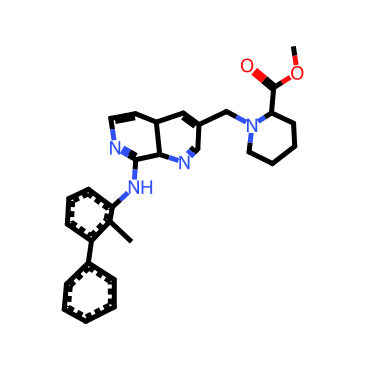 COC(=O)C1CCCCN1CC1=CC2C=CN=C(Nc3cccc(-c4ccccc4)c3C)C2N=C1